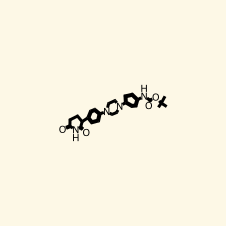 CC(C)(C)OC(=O)Nc1ccc(N2CCN(c3ccc(C4CCC(=O)NC4=O)cc3)CC2)cc1